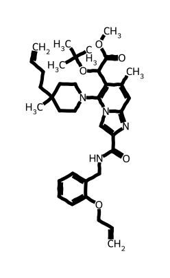 C=CCCC1(C)CCN(c2c(C(OC(C)(C)C)C(=O)OC)c(C)cc3nc(C(=O)NCc4ccccc4OCC=C)cn23)CC1